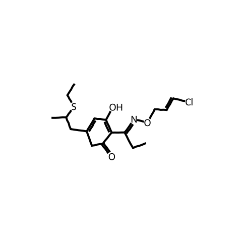 CCSC(C)CC1=CC(O)=C(C(CC)=NOCC=CCl)C(=O)C1